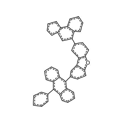 c1ccc(-c2c3ccccc3c(-c3ccc4oc5ccc(-c6cc7ccccc7c7ccccc67)cc5c4c3)c3ccccc23)cc1